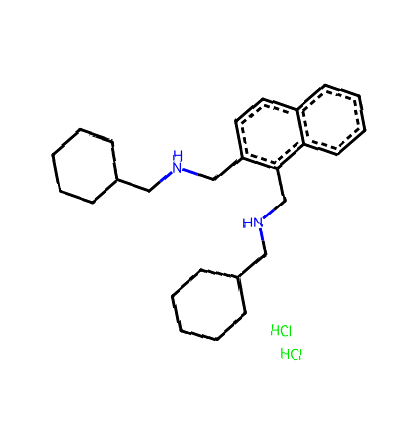 Cl.Cl.c1ccc2c(CNCC3CCCCC3)c(CNCC3CCCCC3)ccc2c1